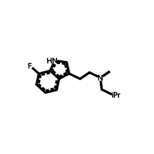 CC(C)CN(C)CCc1c[nH]c2c(F)cccc12